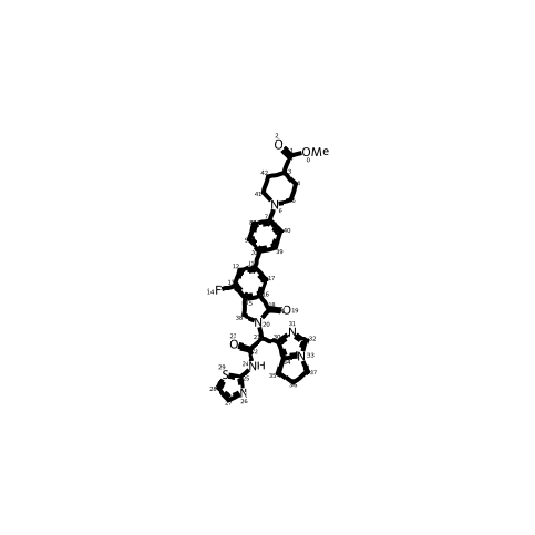 COC(=O)C1CCN(c2ccc(-c3cc(F)c4c(c3)C(=O)N(C(C(=O)Nc3nccs3)c3ncn5c3CCC5)C4)cc2)CC1